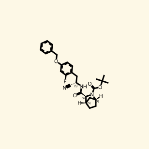 CC(C)(C)OC(=O)N1[C@@H]2CC[C@@H](C2)[C@H]1C(=O)N[C@H](C#N)Cc1ccc(OCc2ccccc2)cc1F